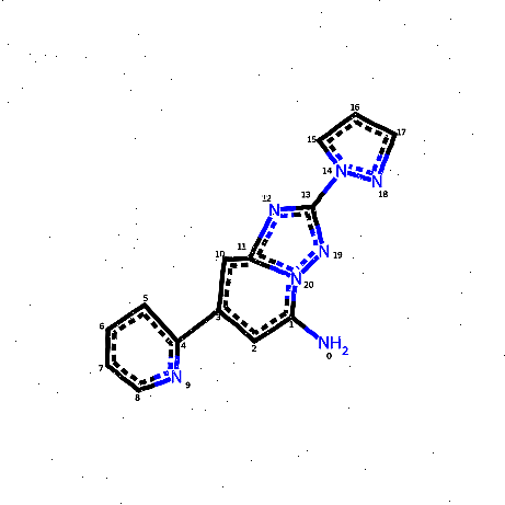 Nc1cc(-c2ccccn2)cc2nc(-n3cccn3)nn12